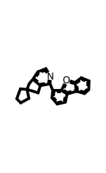 c1ccc2c(c1)oc1c(-c3nccc4c3CC3(CCCC3)C4)cccc12